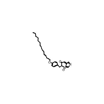 CCCCCCCCCCCCCCOc1ccc(CC2C(=O)C=C3C=NC=C3[N+]2=O)cc1